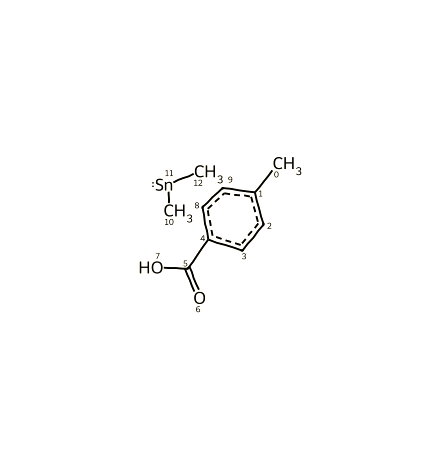 Cc1ccc(C(=O)O)cc1.[CH3][Sn][CH3]